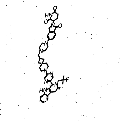 C[C@@H]1Cc2c([nH]c3ccccc23)[C@@H](c2cnc(N3CCC4(CC3)CC(CN3CCN(c5ccc6c(c5)CN(C5CCC(=O)NC5=O)C6=O)CC3)C4)cn2)N1CC(C)(C)F